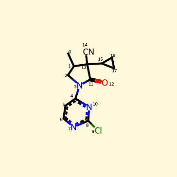 CC1CN(c2ccnc(Cl)n2)C(=O)C1(C#N)C1CC1